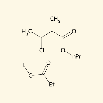 CCC(=O)OI.CCCOC(=O)C(C)C(C)Cl